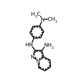 CN(C)c1ccc(Nc2nn3ccccc3c2N)cc1